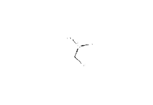 CCCC[SiH](O)CCC